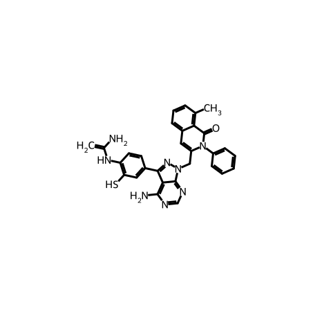 C=C(N)Nc1ccc(-c2nn(Cc3cc4cccc(C)c4c(=O)n3-c3ccccc3)c3ncnc(N)c23)cc1S